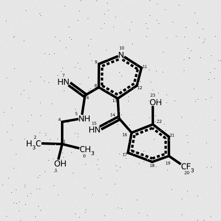 CC(C)(O)CNC(=N)c1cnccc1C(=N)c1ccc(C(F)(F)F)cc1O